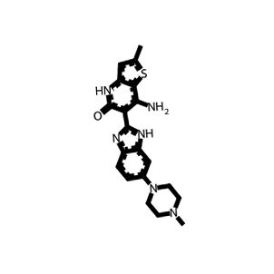 Cc1cc2[nH]c(=O)c(-c3nc4ccc(N5CCN(C)CC5)cc4[nH]3)c(N)c2s1